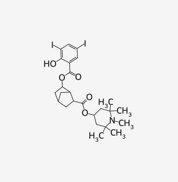 CN1C(C)(C)CC(OC(=O)C2CC3CC(OC(=O)c4cc(I)cc(I)c4O)C2C3)CC1(C)C